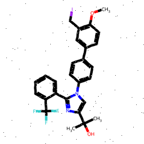 COc1ccc(-c2ccc(-n3cc(C(C)(C)O)nc3-c3ccccc3C(F)(F)F)cc2)cc1CI